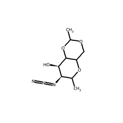 CC1OCC2OC(C)[C@@H](N=[N+]=[N-])[C@@H](O)C2O1